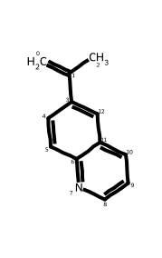 C=C(C)c1ccc2ncccc2c1